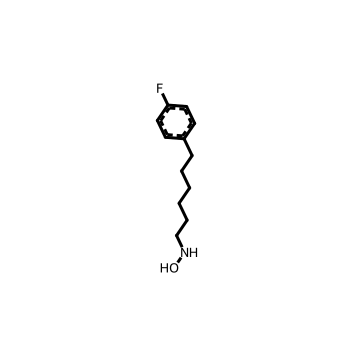 ONCCCCCCc1ccc(F)cc1